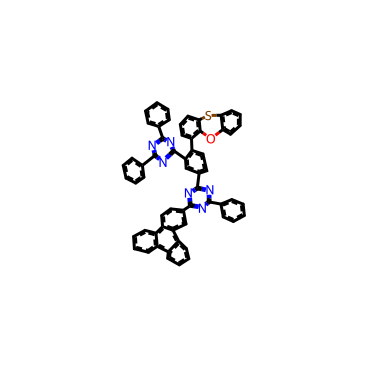 c1ccc(-c2nc(-c3ccc(-c4cccc5c4Oc4ccccc4S5)c(-c4nc(-c5ccccc5)nc(-c5ccccc5)n4)c3)nc(-c3ccc4c5ccccc5c5ccccc5c4c3)n2)cc1